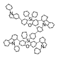 c1ccc(-n2ccc3cc(-c4ccc5c(c4)[Si](c4ccccc4)(c4ccccc4)c4cc(-c6cccc7c8ccccc8n(-c8ccc(-c9ccc([Si]%10(c%11ccccc%11)c%11cc(-c%12cccc%13ccn(-c%14ccccc%14)c%12%13)ccc%11Oc%11ccc(-c%12cccc%13c%14ccccc%14n(-c%14ccccc%14)c%12%13)cc%11%10)cc9)cc8)c67)ccc4O5)ccc32)cc1